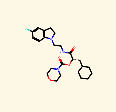 O=C(NCCN1CCc2cc(F)ccc21)[C@H](CC1CCCCC1)OC(=O)N1CCOCC1